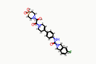 O=C(Nc1ccc(C2=CCN(C(=O)C(=O)N3CCS(=O)(=O)CC3)CC2)cc1)N1Cc2ccc(F)cc2C1